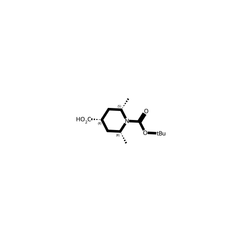 C[C@@H]1C[C@H](C(=O)O)C[C@H](C)N1C(=O)OC(C)(C)C